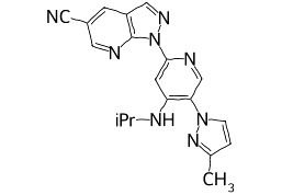 Cc1ccn(-c2cnc(-n3ncc4cc(C#N)cnc43)cc2NC(C)C)n1